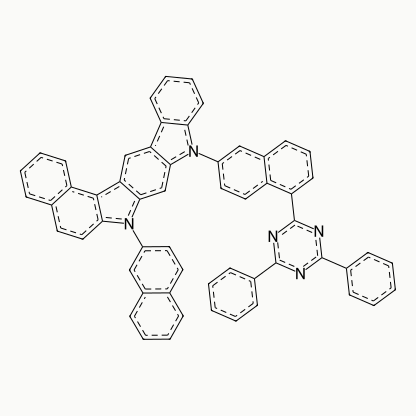 c1ccc(-c2nc(-c3ccccc3)nc(-c3cccc4cc(-n5c6ccccc6c6cc7c8c9ccccc9ccc8n(-c8ccc9ccccc9c8)c7cc65)ccc34)n2)cc1